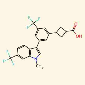 Cn1cc(-c2cc(C3CC(C(=O)O)C3)cc(C(F)(F)F)c2)c2ccc(C(F)(F)F)cc21